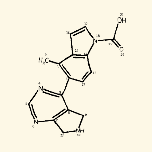 Cc1c(-c2ncnc3c2CNC3)ccc2c1ccn2C(=O)O